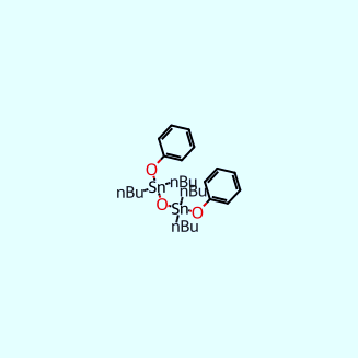 CCC[CH2][Sn]([CH2]CCC)([O]c1ccccc1)[O][Sn]([CH2]CCC)([CH2]CCC)[O]c1ccccc1